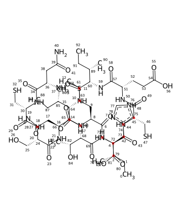 CC[C@H](C)[C@H](NC(=O)[C@H](CCSC)NC(=O)[C@H](CC(N)=O)NC(=O)[C@H](CO)NC(=O)[C@H](CS)NC(=O)[C@@H](N)CC(N)=O)C(=O)N[C@@H](CS)C(=O)N[C@@H](CCC(=O)O)C(=O)N[C@H](C(=O)N[C@H](C(=O)N[C@H](C(=O)N[C@@H](Cc1c[nH]cn1)C(=O)O)[C@@H](C)O)[C@@H](C)CC)[C@@H](C)CC